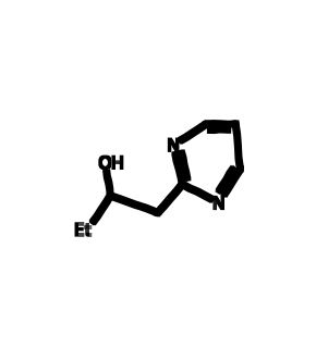 CCC(O)Cc1ncccn1